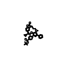 COCCCn1c(=O)oc2ccc(N(C(=O)[C@H]3CN(C(=O)OC(C)(C)C)CC[C@@H]3c3cccc(-c4ccccc4)c3)C3CC3)cc21